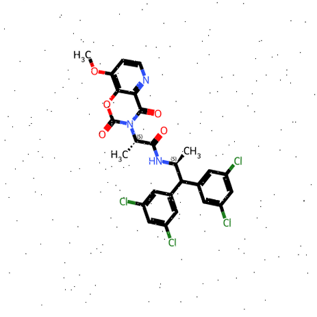 COc1ccnc2c(=O)n([C@@H](C)C(=O)N[C@@H](C)C(c3cc(Cl)cc(Cl)c3)c3cc(Cl)cc(Cl)c3)c(=O)oc12